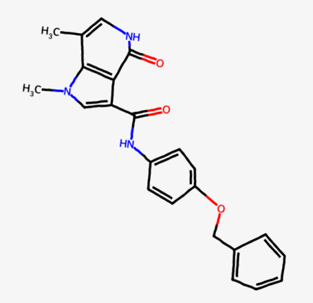 Cc1c[nH]c(=O)c2c(C(=O)Nc3ccc(OCc4ccccc4)cc3)cn(C)c12